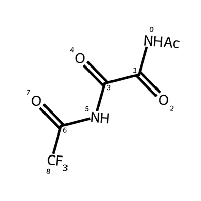 CC(=O)NC(=O)C(=O)NC(=O)C(F)(F)F